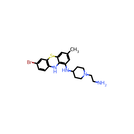 Cc1cc(NC2CCN(CCN)CC2)c2c(c1)Sc1cc(Br)ccc1N2